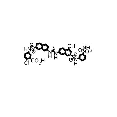 NS(=O)(=O)c1cccc(NS(=O)(=O)c2cc(O)c3ccc(NC(=S)Nc4ccc5ccc(S(=O)(=O)Nc6ccc(Cl)c(C(=O)O)c6)cc5c4)cc3c2)c1